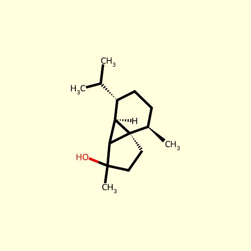 CC(C)[C@@H]1CC[C@@H](C)[C@@]23CCC(C)(O)C2[C@@H]13